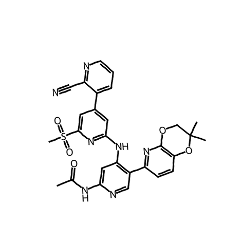 CC(=O)Nc1cc(Nc2cc(-c3cccnc3C#N)cc(S(C)(=O)=O)n2)c(-c2ccc3c(n2)OCC(C)(C)O3)cn1